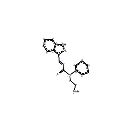 CNCCN(C(=O)/C=C/c1n[nH]c2ccccc12)c1ccccc1